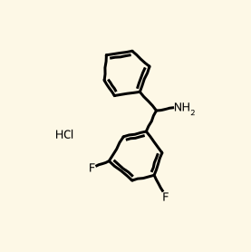 Cl.NC(c1ccccc1)c1cc(F)cc(F)c1